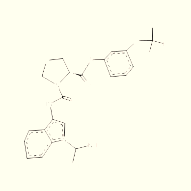 NC(O)n1cc(NC(=O)N2CSC[C@H]2C(=O)Nc2cccc(OC(F)(F)F)c2)c2ccccc21